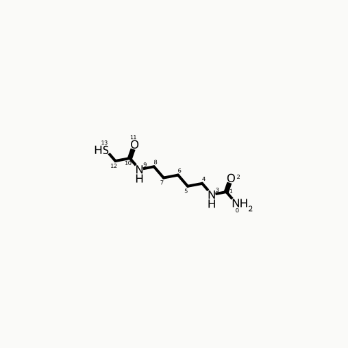 NC(=O)NCCCCCNC(=O)CS